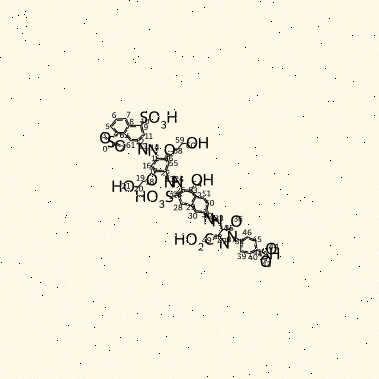 CS(=O)(=O)c1cccc2c(S(=O)(=O)O)cc(/N=N/c3cc(OCCO)c(/N=N/c4c(S(=O)(=O)O)cc5cc(/N=N/C6C(=O)N(c7ccc([SH](=O)=O)cc7)N=C6C(=O)O)ccc5c4O)cc3OCCO)cc12